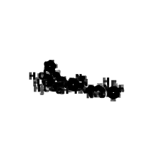 CC(C)(C)C(OP(=O)(O)O)C(N(CCCOc1ccc2c(Nc3cc(CC(=O)Nc4cccc(F)c4F)[nH]n3)ncnc2c1)C1CCCC1)C(C)(C)C